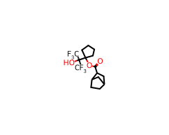 O=C(OC1(C(O)(C(F)(F)F)C(F)(F)F)CCCC1)C1CC2CCC1C2